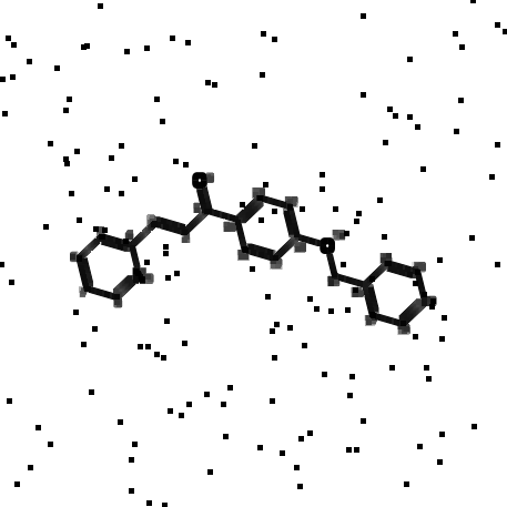 O=C(C=Cc1ccccn1)c1ccc(OCc2ccccc2)cc1